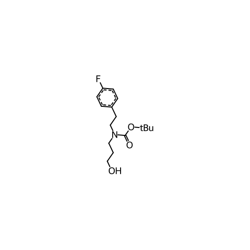 CC(C)(C)OC(=O)N(CCCO)CCc1ccc(F)cc1